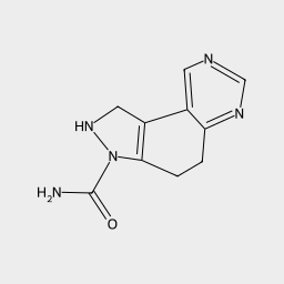 NC(=O)N1NCC2=C1CCc1ncncc12